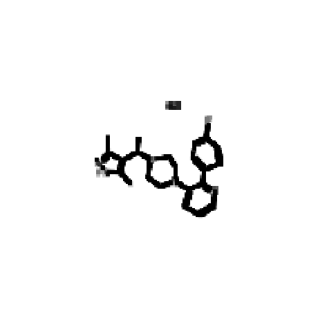 Cc1n[nH]c(C)c1C(C)N1CCN(c2cccnc2-c2ccc(F)cc2)CC1.Cl